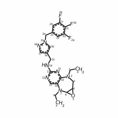 CCN1CC2OC2N(CC)c2cnc(NCc3cnn(Cc4cc(F)c(F)c(F)c4)c3)nc21